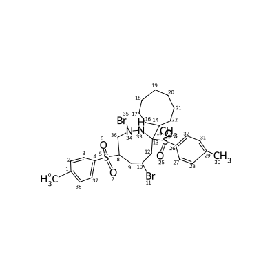 Cc1ccc(S(=O)(=O)C2CC(Br)CC(C3(C)CCCCCCC3)(S(=O)(=O)c3ccc(C)cc3)NN(Br)C2)cc1